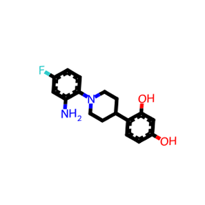 Nc1cc(F)ccc1N1CCC(c2ccc(O)cc2O)CC1